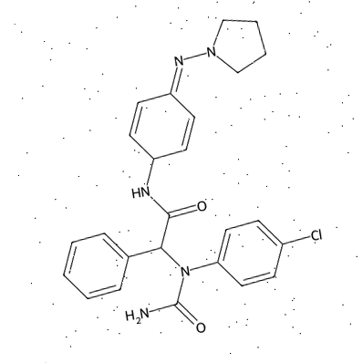 NC(=O)N(c1ccc(Cl)cc1)C(C(=O)NC1C=CC(=NN2CCCC2)C=C1)c1ccccc1